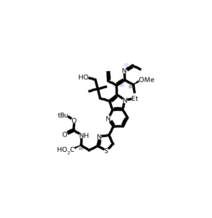 C=C/C(=C(\N=C/C)[C@H](C)OC)c1c(CC(C)(C)CO)c2nc(C3CSC(C[C@H](NC(=O)OC(C)(C)C)C(=O)O)=N3)ccc2n1CC